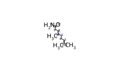 CC(C)=CCC/C(C)=C/CC(N)=O